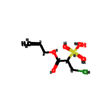 C=CCOC(=O)C(CCl)S(=O)(=O)O